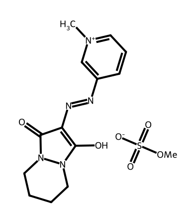 COS(=O)(=O)[O-].C[n+]1cccc(/N=N/c2c(O)n3n(c2=O)CCCC3)c1